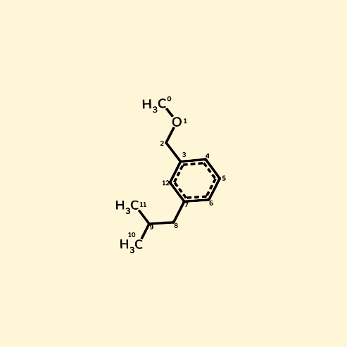 COCc1cccc(CC(C)C)c1